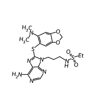 CCS(=O)(=O)NCCCn1c(Sc2cc3c(cc2N(C)C)OCO3)nc2c(N)ncnc21